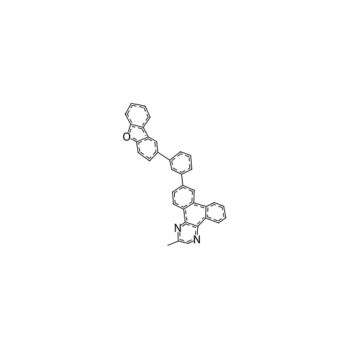 Cc1cnc2c3ccccc3c3cc(-c4cccc(-c5ccc6oc7ccccc7c6c5)c4)ccc3c2n1